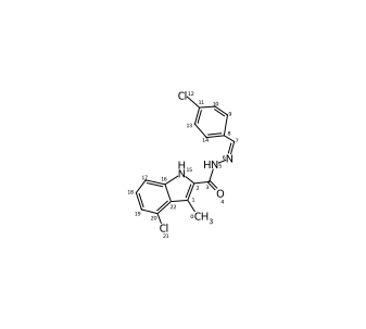 Cc1c(C(=O)N/N=C\c2ccc(Cl)cc2)[nH]c2cccc(Cl)c12